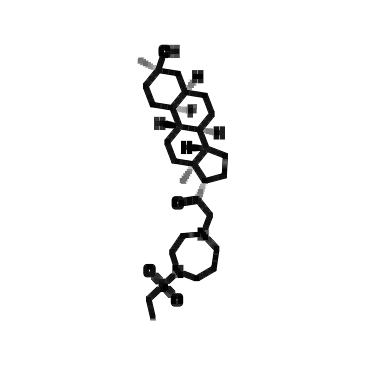 CCS(=O)(=O)N1CCCN(CC(=O)[C@H]2CC[C@H]3[C@@H]4CC[C@@H]5C[C@](C)(O)CC[C@]5(F)[C@H]4CC[C@]23C)CC1